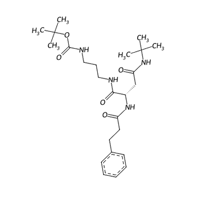 CC(C)(C)NC(=O)C[C@H](NC(=O)CCc1ccccc1)C(=O)NCCCNC(=O)OC(C)(C)C